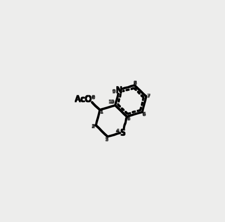 CC(=O)OC1CCSc2cccnc21